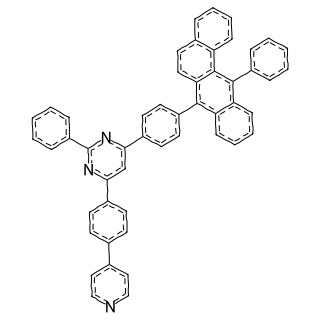 c1ccc(-c2nc(-c3ccc(-c4ccncc4)cc3)cc(-c3ccc(-c4c5ccccc5c(-c5ccccc5)c5c4ccc4ccccc45)cc3)n2)cc1